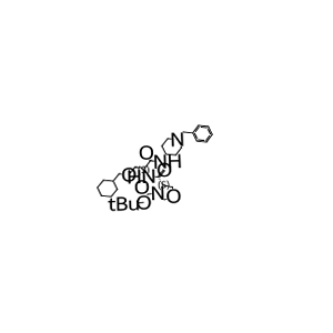 CC(C)(C)OC(=O)N1COC[C@H]1C(=O)N[C@@H](COCC1CCCCC1)C(=O)NC1CCN(Cc2ccccc2)CC1